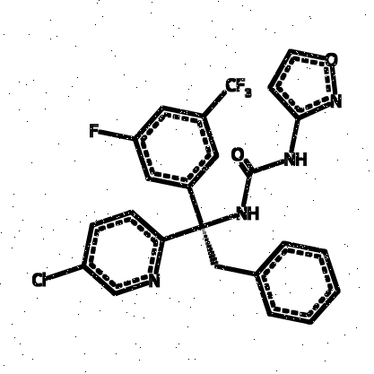 O=C(Nc1ccon1)N[C@](Cc1ccccc1)(c1cc(F)cc(C(F)(F)F)c1)c1ccc(Cl)cn1